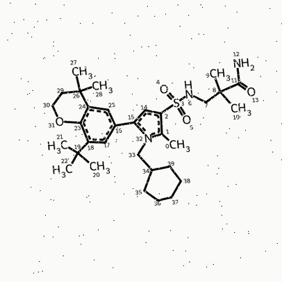 Cc1c(S(=O)(=O)NCC(C)(C)C(N)=O)cc(-c2cc(C(C)(C)C)c3c(c2)C(C)(C)CCO3)n1CC1CCCCC1